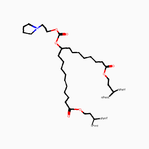 CCCCCC(CCCCC)CCOC(=O)CCCCCCCCCC(CCCCCCCC(=O)OCCC(CCCCC)CCCCC)OC(=O)OCCN1CCCC1